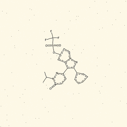 CC(C)n1nc(-c2c(-c3ccccc3)nn3ccc(OS(=O)(=O)C(F)(F)F)cc23)ccc1=O